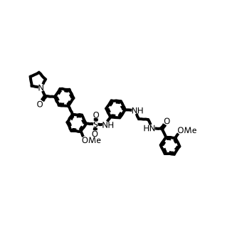 COc1ccccc1C(=O)NCCNc1cccc(NS(=O)(=O)c2cc(-c3cccc(C(=O)N4CCCC4)c3)ccc2OC)c1